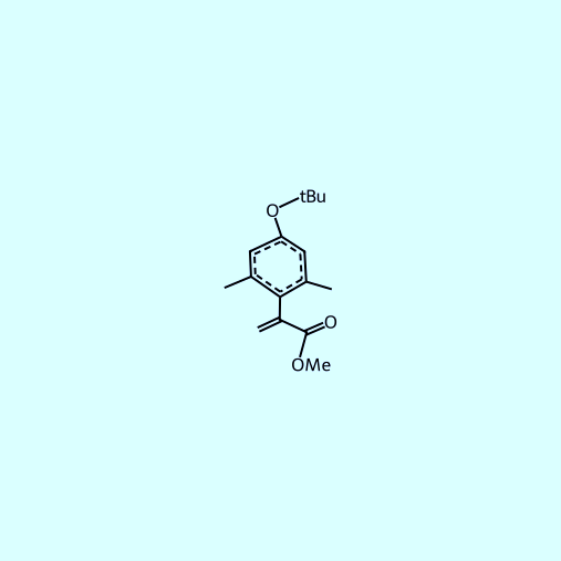 C=C(C(=O)OC)c1c(C)cc(OC(C)(C)C)cc1C